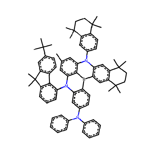 Cc1cc2c3c(c1)N(c1cccc4c1-c1ccc(C(C)(C)C)cc1C4(C)C)c1cc(N(c4ccccc4)c4ccccc4)ccc1B3c1cc3c(cc1N2c1ccc2c(c1)C(C)(C)CCC2(C)C)C(C)(C)CCC3(C)C